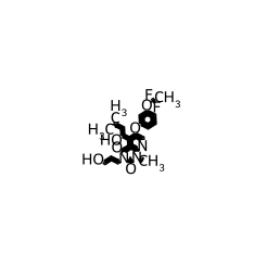 CC(C)CC(O)c1c(Oc2cccc(OC(C)(F)F)c2)cnc2c1c(=O)n(CCCO)c(=O)n2C